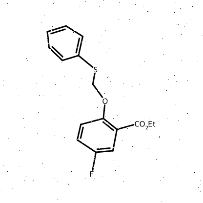 CCOC(=O)c1cc(F)ccc1OCSc1ccccc1